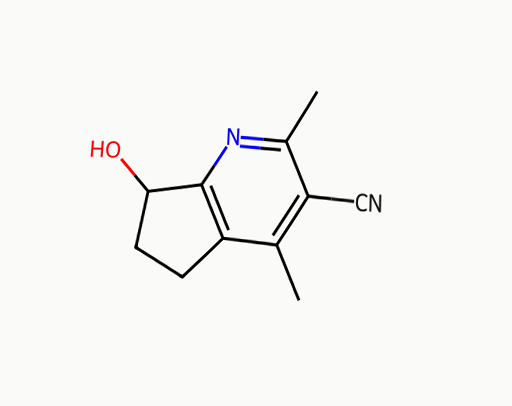 Cc1nc2c(c(C)c1C#N)CCC2O